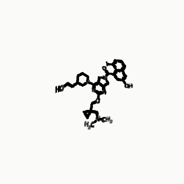 CN(C)CC1(COc2nc3c(c(N4CCCC(CCO)C4)n2)CN(C(=O)c2cc(O)cc4cccc(I)c24)C3)CC1